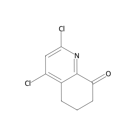 O=C1CCCc2c(Cl)cc(Cl)nc21